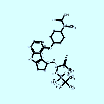 CN(C(=O)O)C1CCC(Oc2ncnc3sc4c(c23)[C@@H](C[C@@H](O[Si](C)(C)C(C)(C)C)C(N)=O)CC4)CC1